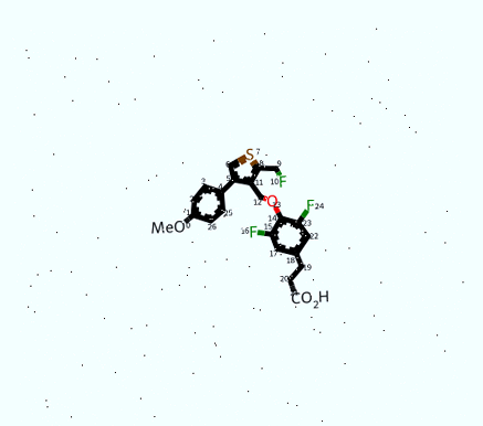 COc1ccc(-c2csc(CF)c2COc2c(F)cc(CCC(=O)O)cc2F)cc1